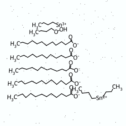 CCCCCCCCCCCC(=O)[O-].CCCCCCCCCCCC(=O)[O-].CCCCCCCCCCCC(=O)[O-].CCCCCCCCCCCC(=O)[O-].CCCCCCCCCCCC(=O)[O-].CCCCOO.CCC[CH2][Sn+2][CH2]CCC.CCC[CH2][Sn+3]